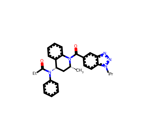 CCC(=O)N(c1ccccc1)[C@H]1C[C@@H](C)N(C(=O)c2ccc3c(c2)nnn3C(C)C)c2ccccc21